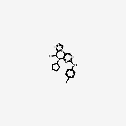 CCC1c2nncn2-c2cnc(Nc3ccc(F)cc3)nc2N1C1CCCC1